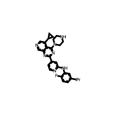 CC(C)c1ccc(F)c(Nc2cc(-c3nc(N4CCNCC4)c4c(C5CC5)cncc4n3)ccn2)c1